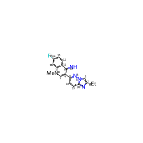 CCc1cn2nc(/C(=C/NC)C(=N)c3ccc(F)cc3)ccc2n1